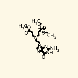 CCOP(=O)(CCN(CCC(=O)OC)CCn1cnc2c(=O)[nH]c(N)nc21)OCC